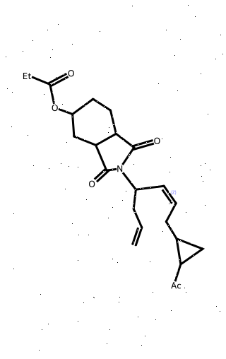 C=CCC(/C=C\CC1CC1C(C)=O)N1C(=O)C2CCC(OC(=O)CC)CC2C1=O